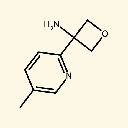 Cc1ccc(C2(N)COC2)nc1